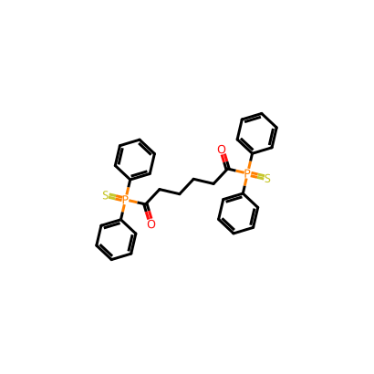 O=C(CCCCC(=O)P(=S)(c1ccccc1)c1ccccc1)P(=S)(c1ccccc1)c1ccccc1